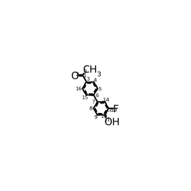 CC(=O)c1ccc(-c2ccc(O)c(F)c2)cc1